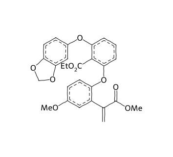 C=C(C(=O)OC)c1cc(OC)ccc1Oc1cccc(Oc2ccc3c(c2)OCO3)c1C(=O)OCC